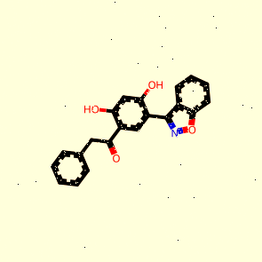 O=C(Cc1ccccc1)c1cc(-c2noc3ccccc23)c(O)cc1O